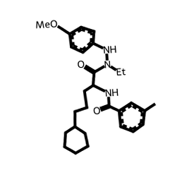 CCN(Nc1ccc(OC)cc1)C(=O)C(CCCC1CCCCC1)NC(=O)c1cccc(C)c1